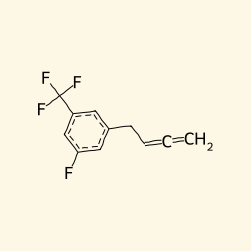 C=C=CCc1cc(F)cc(C(F)(F)F)c1